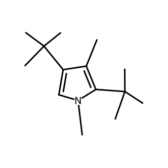 Cc1c(C(C)(C)C)cn(C)c1C(C)(C)C